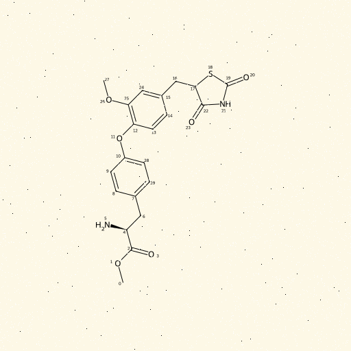 COC(=O)[C@@H](N)Cc1ccc(Oc2ccc(CC3SC(=O)NC3=O)cc2OC)cc1